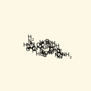 Nc1nc2c(ccn2[C@@H]2O[C@@H]3COP(=O)(O)OC4C(O)[C@H](n5ccc6c(N)ncnc65)O[C@@H]4COP(=O)(O)OC2C3O)c(=O)[nH]1